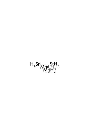 [AlH3].[MgH2].[Mn].[SnH4].[SrH2]